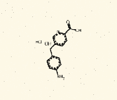 Cl.Cl.Nc1ccc(Cc2ccc(C(=O)O)nc2)cc1